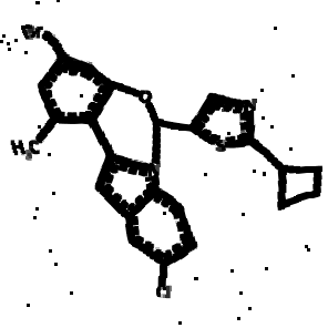 Cc1cc(Br)cc2c1-c1cc3cc(Cl)ccc3n1C(c1cnc(C3CCC3)s1)O2